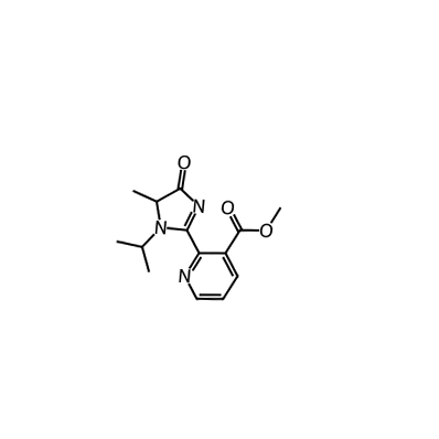 COC(=O)c1cccnc1C1=NC(=O)C(C)N1C(C)C